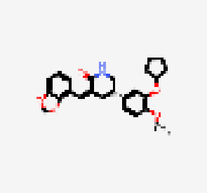 COc1ccc([C@H]2CNC(=O)C(=Cc3cccc4c3OCO4)C2)cc1OC1CCCC1